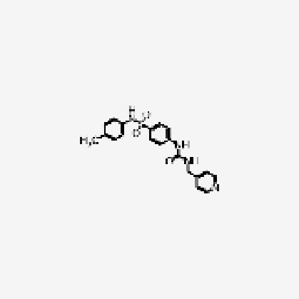 Cc1ccc(NS(=O)(=O)c2ccc(NC(=O)NCc3ccncc3)cc2)cc1